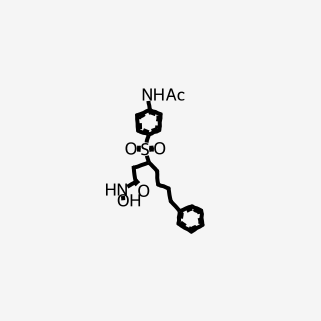 CC(=O)Nc1ccc(S(=O)(=O)C(CCCCc2ccccc2)CC(=O)NO)cc1